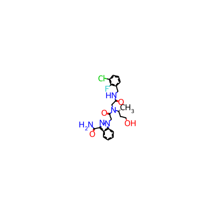 C[C@H](CCO)N(CC(=O)NCc1cccc(Cl)c1F)C(=O)Cn1nc(C(N)=O)c2ccccc21